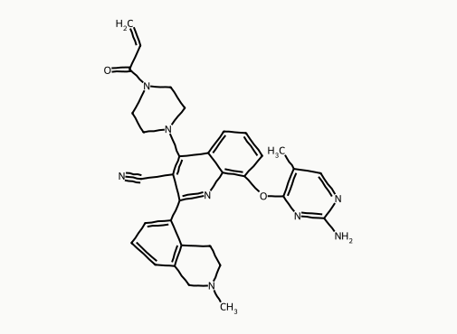 C=CC(=O)N1CCN(c2c(C#N)c(-c3cccc4c3CCN(C)C4)nc3c(Oc4nc(N)ncc4C)cccc23)CC1